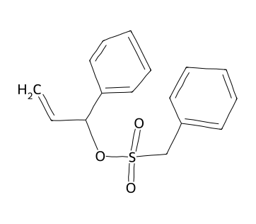 C=CC(OS(=O)(=O)Cc1ccccc1)c1ccccc1